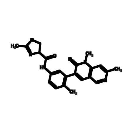 CC1=NC(C(=O)Nc2ccc(C)c(-c3cc4cnc(C)cc4n(C)c3=O)c2)CO1